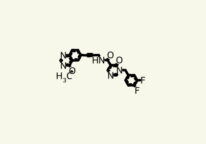 COc1ncnc2ccc(C#CCNC(=O)c3cncn(Cc4ccc(F)c(F)c4)c3=O)cc12